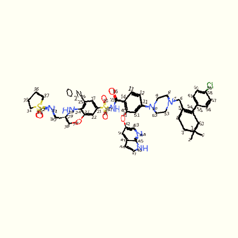 CC1(C)CCC(CN2CCN(c3ccc(C(=O)NS(=O)(=O)c4cc5c(c([N+](=O)[O-])c4)N[C@H](CN=S4(=O)CCCC4)CO5)c(Oc4cnc5[nH]ccc5c4)c3)CC2)=C(c2ccc(Cl)cc2)C1